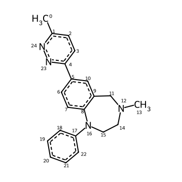 Cc1ccc(-c2ccc3c(c2)CN(C)CCN3c2ccccc2)nn1